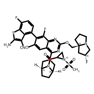 CS(=O)(=O)[N@]1CC1C(=O)N1[C@@H]2CC[C@H]1CN(c1nc(OC[C@@]34CCCN3C[C@H](F)C4)nc3c(F)c(-c4ccc(F)c5sc(N)c(C#N)c45)c(Cl)cc13)C2